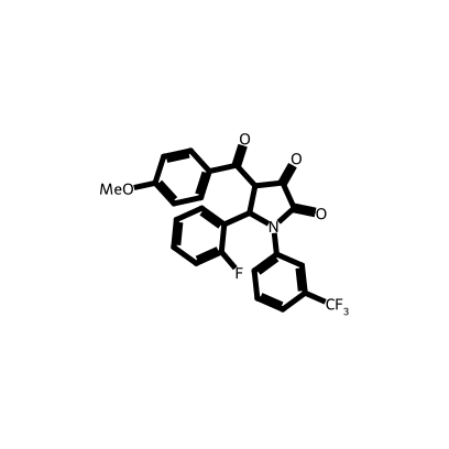 COc1ccc(C(=O)C2C(=O)C(=O)N(c3cccc(C(F)(F)F)c3)C2c2ccccc2F)cc1